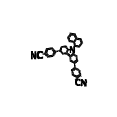 N#Cc1ccc(-c2ccc3c(c2)c2cc(-c4ccc(C#N)cc4)ccc2n3-c2cccc3ccccc23)cc1